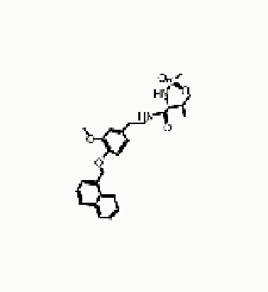 COc1cc(CCNC(=O)[C@@H](NS(C)(=O)=O)C(C)C)ccc1OCc1cccc2ccccc12